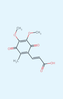 COC1=C(OC)C(=O)C(C=CC(=O)O)=C(C)C1=O